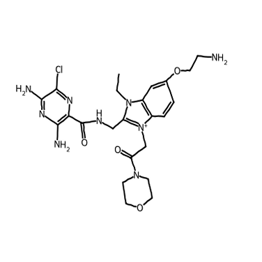 CCn1c(CNC(=O)c2nc(Cl)c(N)nc2N)[n+](CC(=O)N2CCOCC2)c2ccc(OCCN)cc21